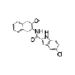 [O]C1Cc2ccccc2CC1NC(=O)c1cc2cc(Cl)ccc2[nH]1